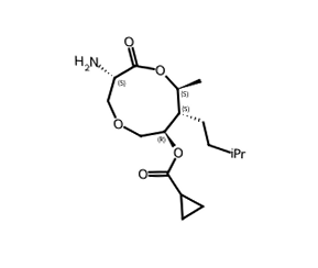 CC(C)CC[C@H]1[C@H](C)OC(=O)[C@@H](N)COC[C@@H]1OC(=O)C1CC1